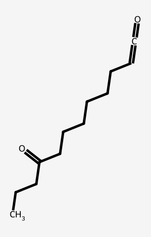 CCCC(=O)CCCCCCC=C=O